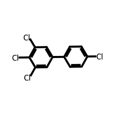 Clc1ccc(-c2cc(Cl)c(Cl)c(Cl)c2)cc1